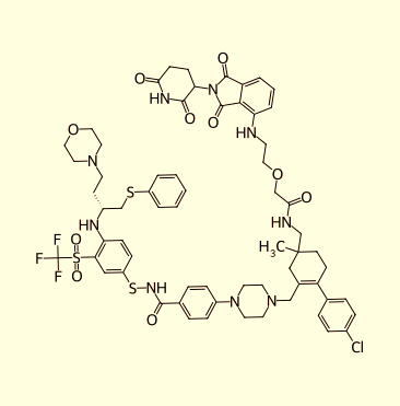 CC1(CNC(=O)COCCNc2cccc3c2C(=O)N(C2CCC(=O)NC2=O)C3=O)CCC(c2ccc(Cl)cc2)=C(CN2CCN(c3ccc(C(=O)NSc4ccc(N[C@H](CCN5CCOCC5)CSc5ccccc5)c(S(=O)(=O)C(F)(F)F)c4)cc3)CC2)C1